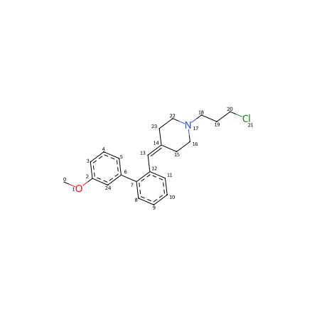 COc1cccc(-c2ccccc2C=C2CCN(CCCCl)CC2)c1